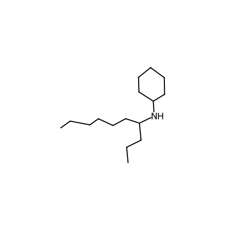 CCCCCCC(CCC)NC1CCCCC1